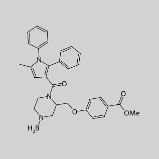 BN1CCN(C(=O)c2cc(C)n(-c3ccccc3)c2-c2ccccc2)C(COc2ccc(C(=O)OC)cc2)C1